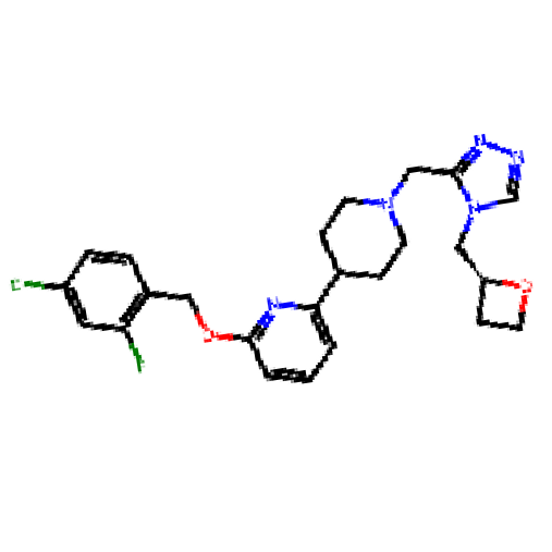 Fc1cc(Cl)ccc1COc1cccc(C2CCN(Cc3nncn3C[C@@H]3CCO3)CC2)n1